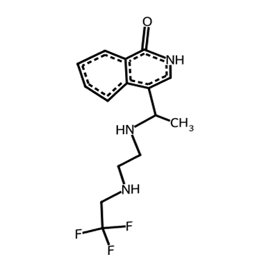 CC(NCCNCC(F)(F)F)c1c[nH]c(=O)c2ccccc12